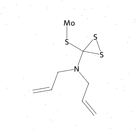 C=CCN(CC=C)C1([S][Mo])SS1